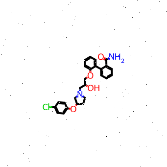 NC(=O)c1ccccc1-c1ccccc1OCC(O)CN1CCC(Oc2ccc(Cl)cc2)C1